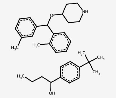 CCCC(O)c1ccc(C(C)(C)C)cc1.Cc1cccc(C(OC2CCNCC2)c2ccccc2C)c1